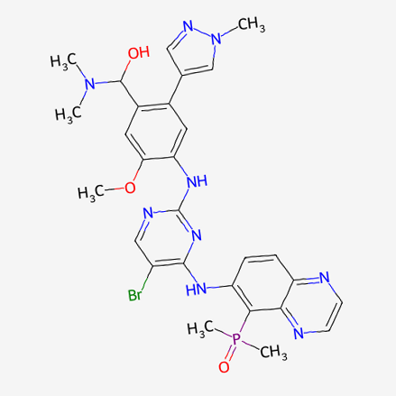 COc1cc(C(O)N(C)C)c(-c2cnn(C)c2)cc1Nc1ncc(Br)c(Nc2ccc3nccnc3c2P(C)(C)=O)n1